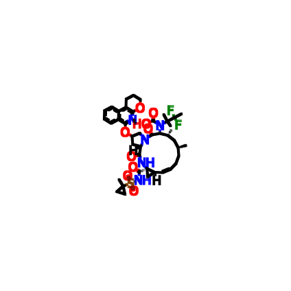 C[C@H]1CC/C=C\[C@@H]2C[C@@]2(C(=O)NS(=O)(=O)C2(C)CC2)NC(=O)[C@@H]2C[C@@H](Oc3nc4c(c5ccccc35)CCCO4)CN2C(=O)[C@@H](N(C(=O)O)C(C)(C)C(C)(F)F)[C@H](C)C1